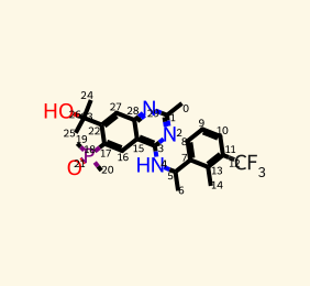 Cc1nc(NC(C)c2cccc(C(F)(F)F)c2C)c2cc(P(C)(C)=O)c(C(C)(C)O)cc2n1